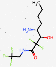 CCCC[C@H](N)[C@@H](O)C(F)(F)C(=O)NCC(F)(F)F